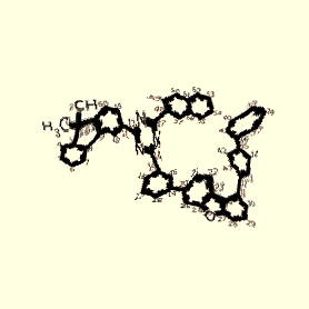 CC1(C)c2ccccc2-c2cc(-c3nc(-c4cccc(-c5ccc6c(c5)oc5cccc(-c7ccc(-c8ccccc8)cc7)c56)c4)nc(-c4ccc5ccccc5c4)n3)ccc21